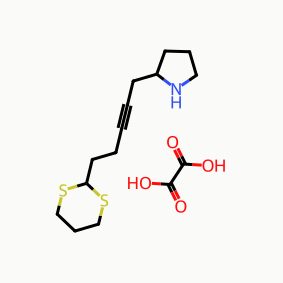 C(#CCC1CCCN1)CCC1SCCCS1.O=C(O)C(=O)O